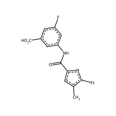 CCn1nc(C(=O)Nc2cc(F)cc(C(=O)O)c2)cc1C